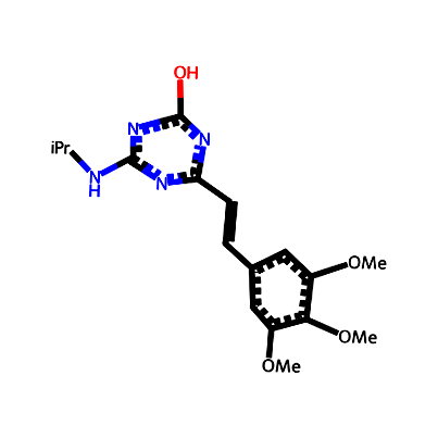 COc1cc(/C=C/c2nc(O)nc(NC(C)C)n2)cc(OC)c1OC